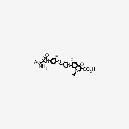 CC(=O)C(N)C1CN(c2ccc(OCC3CCN(c4cc5c(cc4F)c(=O)c(C(=O)O)cn5C4CC4)CC3)c(F)c2)C(=O)O1